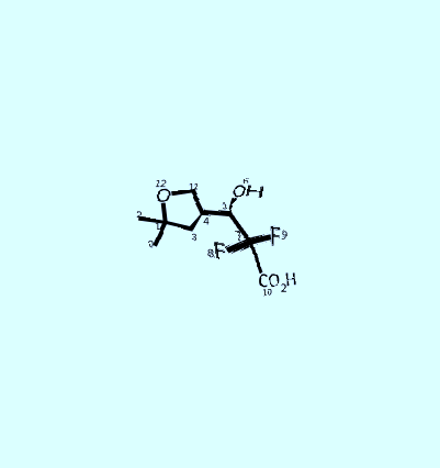 CC1(C)C[C@H]([C@@H](O)C(F)(F)C(=O)O)CO1